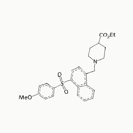 CCOC(=O)C1CCN(Cc2ccc(S(=O)(=O)c3ccc(OC)cc3)c3ccccc23)CC1